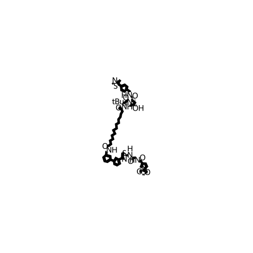 Cc1ncsc1-c1ccc(CNC(=O)[C@@H]2C[C@@H](O)CN2C(=O)[C@@H](NC(=O)CCCCCCCCCCCCCC(=O)NCc2cccc(-c3cccc(-c4csc(NC(=O)CNC(=O)c5ccn(S(C)(=O)=O)c5)n4)c3)c2)C(C)(C)C)cc1